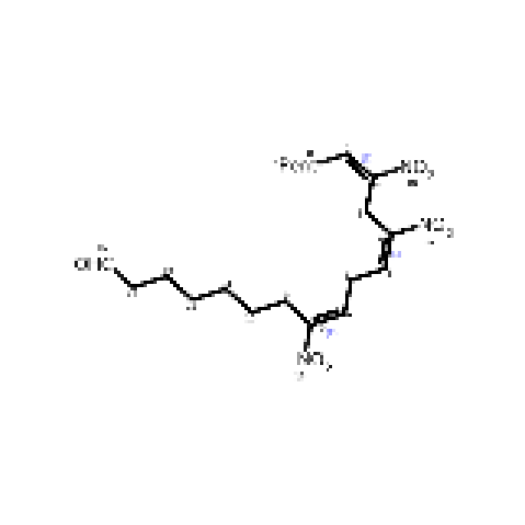 CCCCC/C=C(\C/C(=C\C/C=C(\CCCCCC[C]=O)[N+](=O)[O-])[N+](=O)[O-])[N+](=O)[O-]